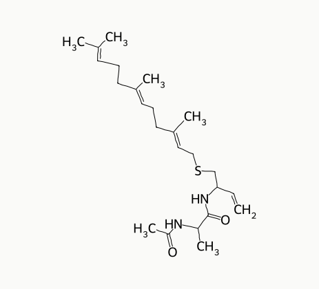 C=CC(CSC/C=C(\C)CC/C=C(\C)CCC=C(C)C)NC(=O)C(C)NC(C)=O